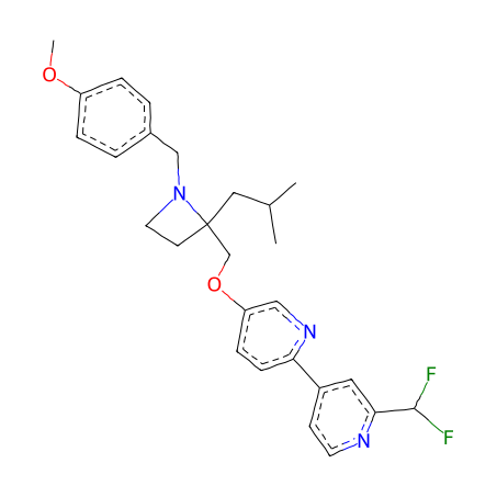 COc1ccc(CN2CCC2(COc2ccc(-c3ccnc(C(F)F)c3)nc2)CC(C)C)cc1